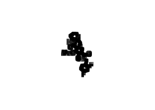 COc1c2n(cc(C(=O)NCc3ccc(F)cc3F)c1=O)CC1N3CCC[C@H](C3)N1C2=O